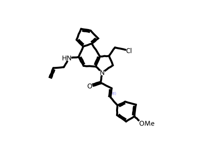 C=CCNc1cc2c(c3ccccc13)C(CCl)CN2C(=O)/C=C/c1ccc(OC)cc1